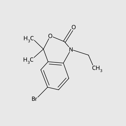 CCN1C(=O)OC(C)(C)c2cc(Br)ccc21